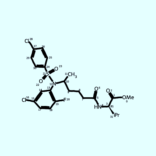 COC(=O)[C@H](NC(=O)CCCC(C)N(c1cc(Cl)ccc1F)S(=O)(=O)c1ccc(Cl)cc1)C(C)C